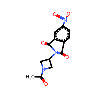 CC(=O)N1CC(N2C(=O)c3ccc([N+](=O)[O-])cc3C2=O)C1